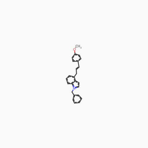 COc1ccc(/C=C/Cc2cccc3c2ccn3Cc2ccccc2)cc1